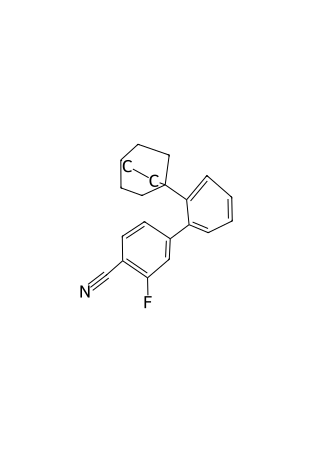 N#Cc1ccc(-c2ccccc2C23CCC(CC2)CC3)cc1F